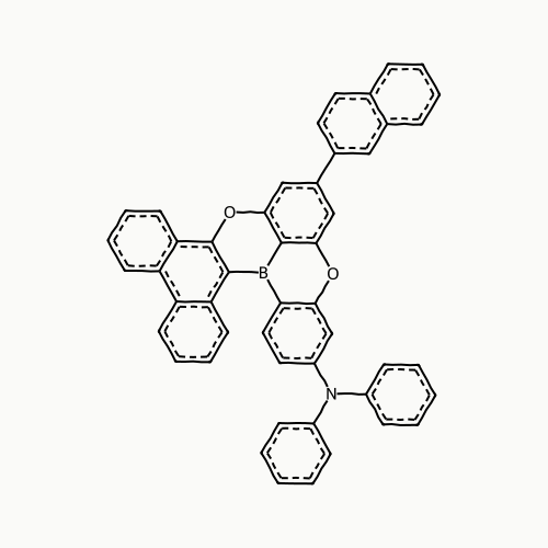 c1ccc(N(c2ccccc2)c2ccc3c(c2)Oc2cc(-c4ccc5ccccc5c4)cc4c2B3c2c(c3ccccc3c3ccccc23)O4)cc1